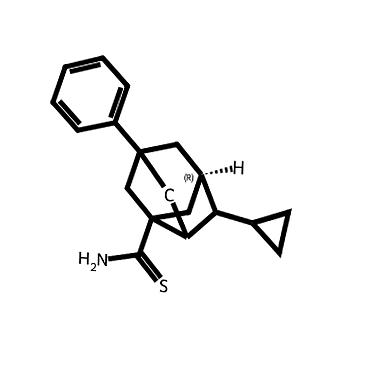 NC(=S)C12C[C@H]3CC(c4ccccc4)(CC1C3C1CC1)C2